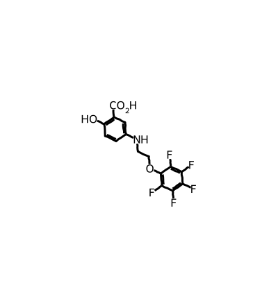 O=C(O)c1cc(NCCOc2c(F)c(F)c(F)c(F)c2F)ccc1O